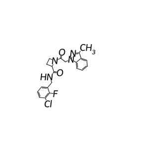 Cc1nn(CC(=O)N2CCC2C(=O)NCc2cccc(Cl)c2F)c2ccccc12